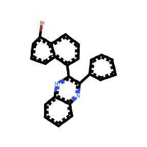 Brc1cccc2c(-c3nc4ccccc4nc3-c3ccccc3)cccc12